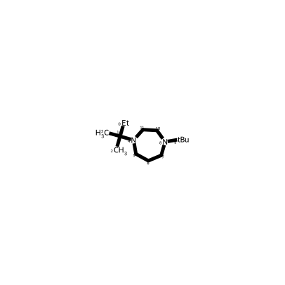 CCC(C)(C)N1CCCN(C(C)(C)C)CC1